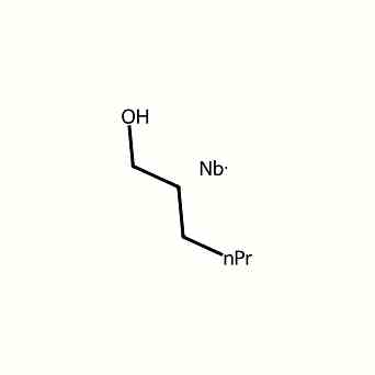 CCCCCCO.[Nb]